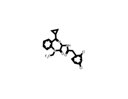 O=C(Cc1ccc(Cl)cc1Cl)NC1N=C(C2CC2)c2ccccc2N(CC(F)(F)F)C1=O